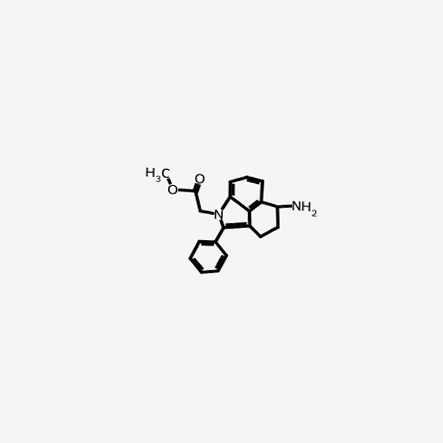 COC(=O)Cn1c(-c2ccccc2)c2c3c(cccc31)C(N)CC2